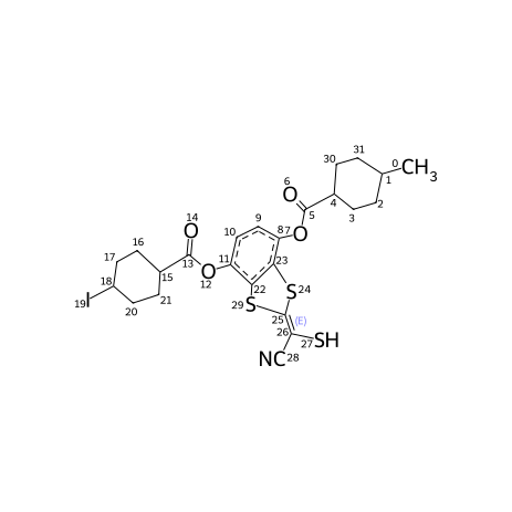 CC1CCC(C(=O)Oc2ccc(OC(=O)C3CCC(I)CC3)c3c2S/C(=C(\S)C#N)S3)CC1